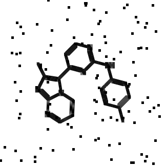 Cc1ccc(Nc2nccc(-c3c(C)nc4ncccn34)n2)cc1